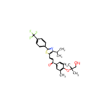 Cc1cc(C(=O)C=Cc2sc(-c3ccc(C(F)(F)F)cc3)nc2C(C)C)ccc1OC(C)(C)CO